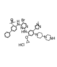 Cl.Cn1cc(-c2cc(Nc3ncc(Br)c(Nc4ccc(-c5ccccc5)cc4P(C)(C)=O)n3)c(OC3CC3)cc2N2CCC(N3CCNCC3)CC2)cn1